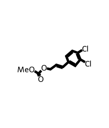 COC(=O)OCC=Cc1ccc(Cl)c(Cl)c1